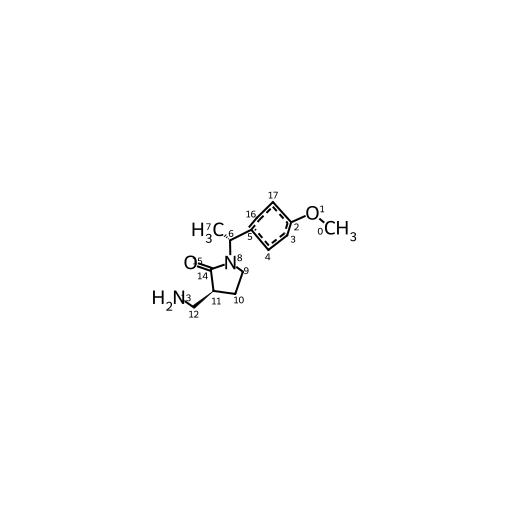 COc1ccc([C@@H](C)N2CC[C@@H](CN)C2=O)cc1